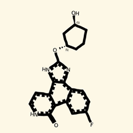 O=c1[nH]ccc2c3[nH]c(O[C@H]4CCC[C@H](O)C4)nc3c3ccc(F)cc3c12